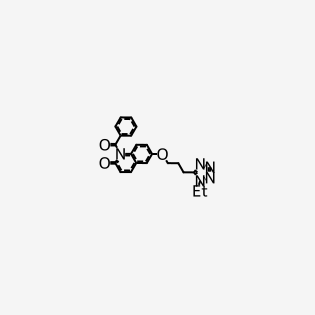 CCn1nnnc1CCCOc1ccc2c(ccc(=O)n2C(=O)c2ccccc2)c1